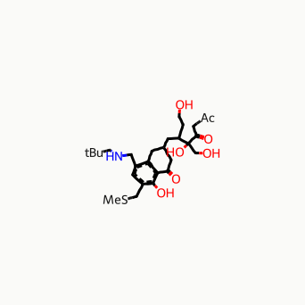 CSCc1cc(CNCC(C)(C)C)c2c(c1O)C(=O)CC(CC(CCO)C(O)(CO)C(=O)CC(C)=O)C2